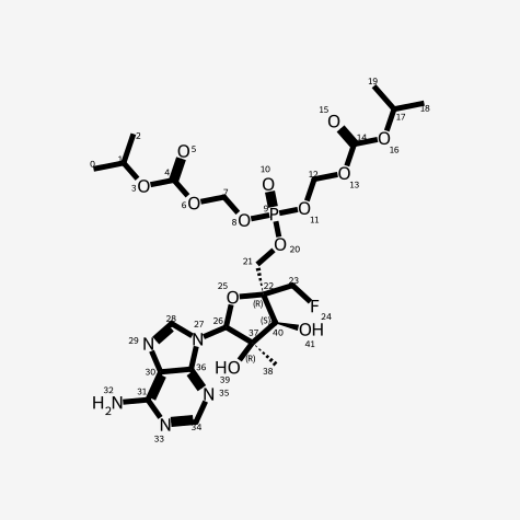 CC(C)OC(=O)OCOP(=O)(OCOC(=O)OC(C)C)OC[C@@]1(CF)OC(n2cnc3c(N)ncnc32)[C@](C)(O)[C@@H]1O